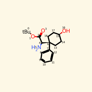 CC(C)(C)OC(=O)C(N)[C@]1(c2ccccc2)CC[C@H](O)CC1